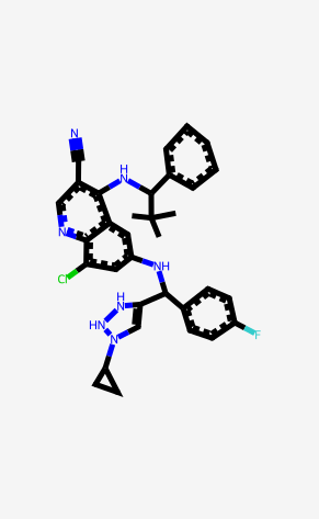 CC(C)(C)C(Nc1c(C#N)cnc2c(Cl)cc(NC(C3=CN(C4CC4)NN3)c3ccc(F)cc3)cc12)c1ccccc1